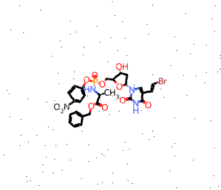 C[C@H](NP(=O)(OCC1O[C@@H](n2cc(/C=C/Br)c(=O)[nH]c2=O)C[C@H]1O)Oc1ccc([N+](=O)[O-])cc1)C(=O)OCc1ccccc1